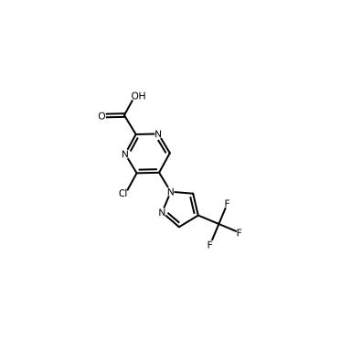 O=C(O)c1ncc(-n2cc(C(F)(F)F)cn2)c(Cl)n1